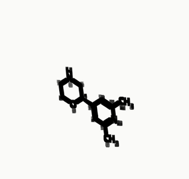 Cc1cc([C@@H]2CNCCO2)cc(C)n1